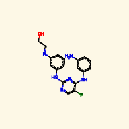 Nc1cccc(Nc2nc(Nc3cccc(N=CCO)c3)ncc2F)c1